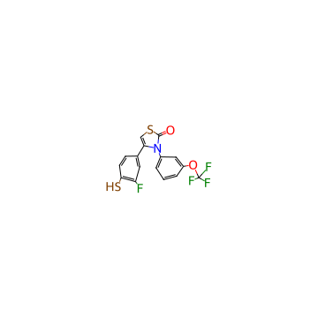 O=c1scc(-c2ccc(S)c(F)c2)n1-c1cccc(OC(F)(F)F)c1